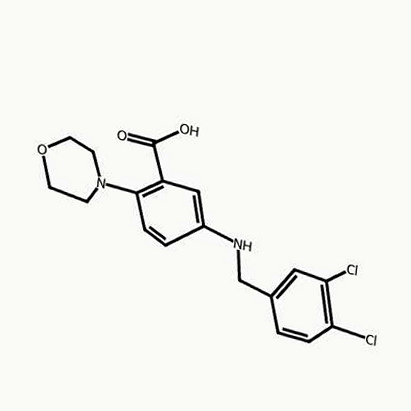 O=C(O)c1cc(NCc2ccc(Cl)c(Cl)c2)ccc1N1CCOCC1